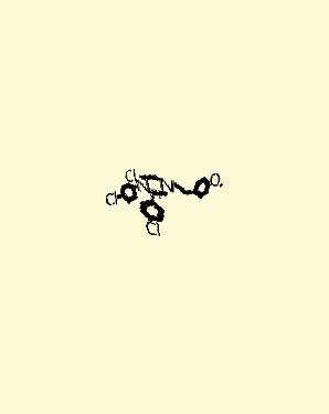 COc1ccc(CCN2CCN(c3ccc(Cl)cc3Cl)[C@H](c3ccc(Cl)cc3)C2)cc1